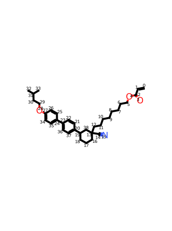 C=CC(=O)OCCCCCCCCC1(C#N)CCCC(c2ccc(-c3ccc(OCCC(C)C)cc3)cc2)C1